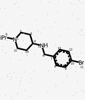 CC(C)N1CCC(NCc2ccc(Br)cc2)CC1